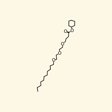 CCCCCCCCCCCOCCOCCOCCCC(=O)OC1CCCCC1